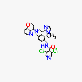 Cn1ccnc1CCN(Cc1ccc(CNC(=O)c2c(Cl)cncc2Cl)cc1)C1CCOc2cccnc21